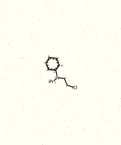 CC(C)N(CCCl)c1ccccc1